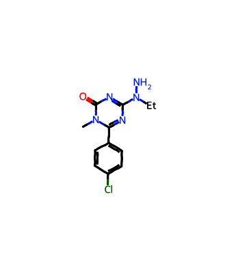 CCN(N)c1nc(-c2ccc(Cl)cc2)n(C)c(=O)n1